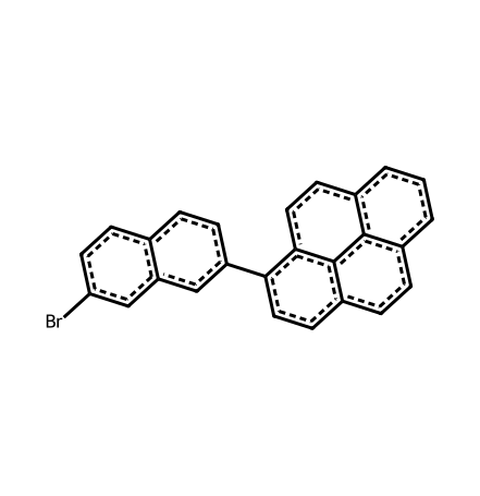 Brc1ccc2ccc(-c3ccc4ccc5cccc6ccc3c4c56)cc2c1